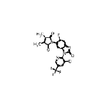 CC1=C(C)C(=O)N(c2cc3c(cc2F)sc(=O)n3-c2ncc(C(F)(F)F)cc2Cl)C1=O